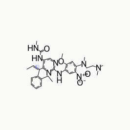 C/C=C(\c1ccccc1CC)c1nc(Nc2cc([N+](=O)[O-])c(N(C)CCN(C)C)cc2OC)ncc1NC(=O)NC